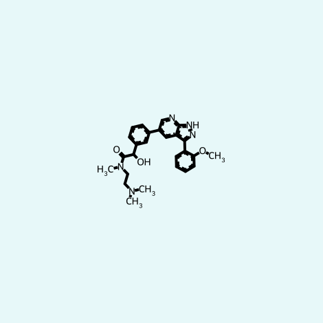 COc1ccccc1-c1n[nH]c2ncc(-c3cccc(C(O)C(=O)N(C)CCN(C)C)c3)cc12